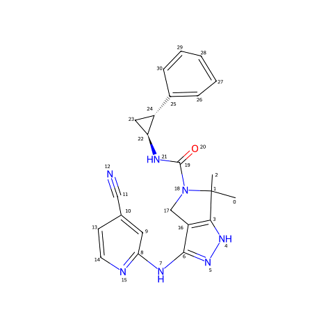 CC1(C)c2[nH]nc(Nc3cc(C#N)ccn3)c2CN1C(=O)N[C@H]1C[C@@H]1c1ccccc1